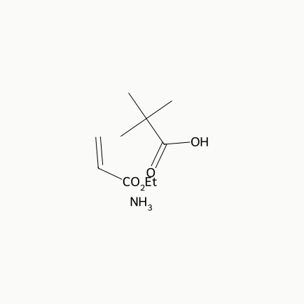 C=CC(=O)OCC.CC(C)(C)C(=O)O.N